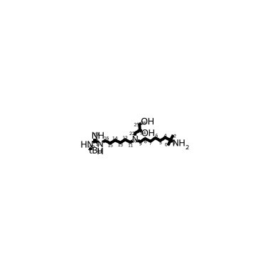 CC(C)(N)CCCCCCN(CCCCCCNC(=N)NC(C)(C)C)CC(O)CO